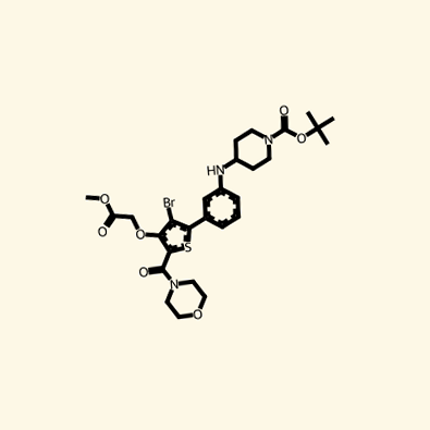 COC(=O)COc1c(C(=O)N2CCOCC2)sc(-c2cccc(NC3CCN(C(=O)OC(C)(C)C)CC3)c2)c1Br